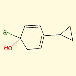 OC1(Br)C=CC(C2CC2)=CC1